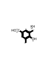 Cc1cc(C(=O)O)cc(C)c1O.[KH]